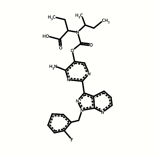 CCC(C)N(C(=O)Oc1cnc(-c2nn(Cc3ccccc3F)c3ncccc23)nc1N)C(CC)C(=O)O